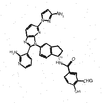 Nc1ccn(-c2ccc3nc(-c4cccnc4N)n(-c4ccc5c(c4)CC[C@@H]5NC(=O)c4ccc(O)c(C=O)c4)c3n2)n1